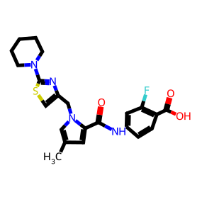 Cc1cc(C(=O)Nc2ccc(C(=O)O)c(F)c2)n(Cc2csc(N3CCCCC3)n2)c1